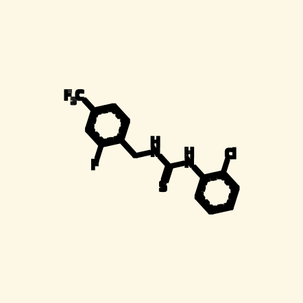 Fc1cc(C(F)(F)F)ccc1CNC(=S)Nc1ccccc1Cl